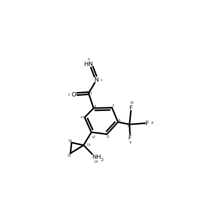 N=NC(=O)c1cc(C(F)(F)F)cc(C2(N)CC2)c1